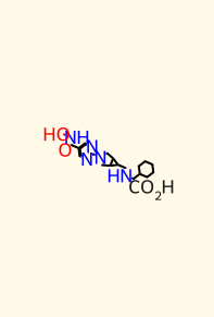 O=C(NO)c1cnc(N2CC3C(CN[C@H](C(=O)O)C4CCCCC4)C3C2)nc1